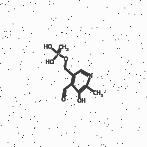 C=P(O)(O)OCc1cnc(C)c(O)c1C=O